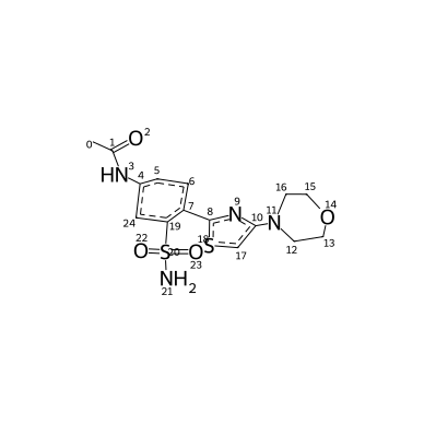 CC(=O)Nc1ccc(-c2nc(N3CCOCC3)cs2)c(S(N)(=O)=O)c1